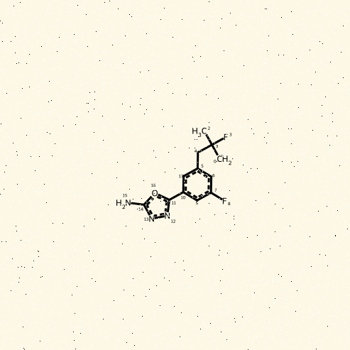 [CH2]C(C)(F)Cc1cc(F)cc(-c2nnc(N)o2)c1